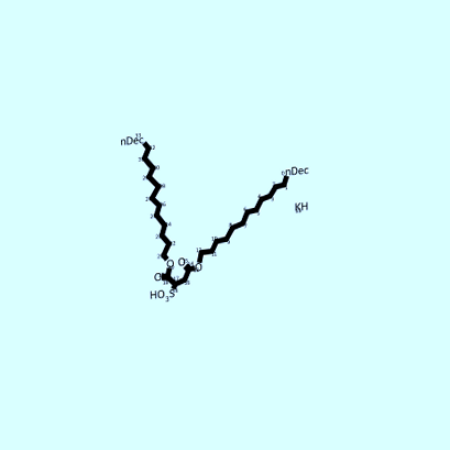 CCCCCCCCCCCCCCCCCCCCCCOC(=O)CC(C(=O)OCCCCCCCCCCCCCCCCCCCCCC)S(=O)(=O)O.[KH]